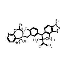 CCC1CN(Cc2cc(C(c3ccc4c(nnn4CC)c3C)C(C)(C)C(N)=O)ccc2C)S(O)(O)c2cccnc2O1